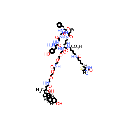 CC(C)CC(NC(=O)[C@H](Cc1ccccc1)NC(=O)CNC(=O)CNC(=O)[C@@H](N)Cc1ccc(O)cc1)C(=O)NCCCC[C@H](NC(=O)COCCOCCNC(=O)COCCOCCNC(=O)CC[C@H](C)[C@H]1CC[C@H]2[C@@H]3CC[C@@H]4C[C@H](O)CC[C@]4(C)[C@H]3C[C@H](O)[C@]12C)C(=O)N[C@@H](CCCCNC(=O)CCCC[C@@H]1SC[C@@H]2NC(=O)N[C@@H]21)C(=O)O